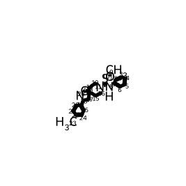 COc1ccccc1NC(=S)N1CCC2(CC1)CC(c1ccc(C)cc1)=NO2